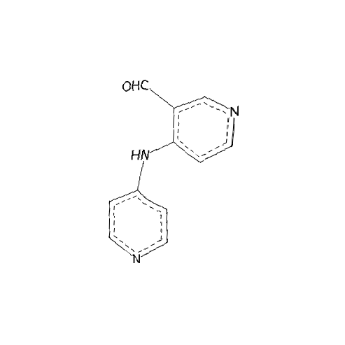 O=Cc1cnccc1Nc1ccncc1